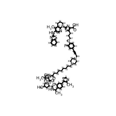 Cc1ncsc1-c1ccc(C(C)NC(=O)[C@@H]2C[C@@H](O)CN2C(=O)C(NC(=O)CCCCCCCCN2CCN(CC#Cc3ccc(OCCCc4sc(N5CCCc6c5nnc(Nc5nc7ccccc7s5)c6C)nc4C(=O)O)c(F)c3)CC2)C(C)(C)C)cc1